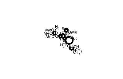 CC[C@H]1CCC[C@H](O[C@H]2CC[C@H](N(C)C)C(C)O2)[C@@H](C)C(=O)C2=C[C@H]3[C@@H]4C[C@H](O[C@@H]5OC(C)[C@H](OC)C(OC)C5OC)C[C@H]4[C@@H](O)[C@H](Nc4cc(F)ccc4OC)[C@H]3[C@@H]2CC(=O)O1